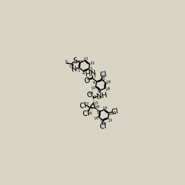 Cc1nc2cc(NC(=O)c3cc(NC(=O)[C@@H]4[C@@H](c5cc(Cl)cc(Cl)c5)C4(Cl)Cl)ccc3Cl)ccc2s1